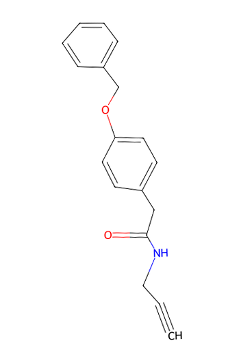 C#CCNC(=O)Cc1ccc(OCc2ccccc2)cc1